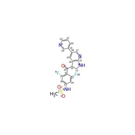 CS(=O)(=O)Nc1cc(F)c(C(=O)C2CNc3ncc(-c4cccnc4)cc32)c(F)c1